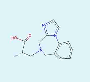 C[C@@H](CN1Cc2ccccc2-n2ccnc2C1)C(=O)O